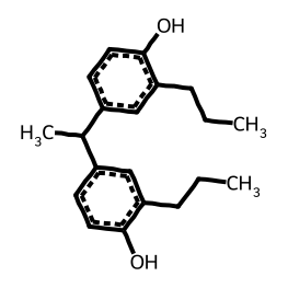 CCCc1cc(C(C)c2ccc(O)c(CCC)c2)ccc1O